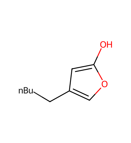 CCCCCc1coc(O)c1